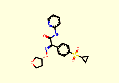 O=C(Nc1ccccn1)/C(=N/O[C@@H]1CCOC1)c1ccc(S(=O)(=O)C2CC2)cc1